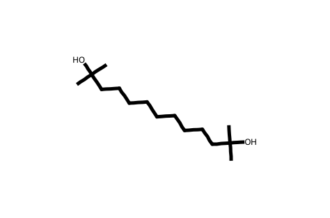 CC(C)(O)CCCCCCCCCC(C)(C)O